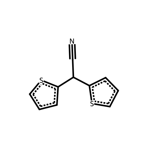 N#CC(c1cccs1)c1cccs1